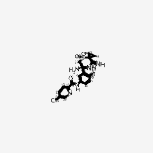 N=C1N[C@](N)(c2cc(NC(=O)c3ccc(Cl)cn3)ccc2F)CS(=O)(=O)C12CC2